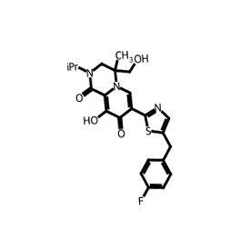 CC(C)N1CC(C)(CO)n2cc(-c3ncc(Cc4ccc(F)cc4)s3)c(=O)c(O)c2C1=O